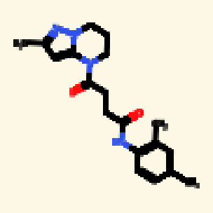 Cc1ccc(NC(=O)CCC(=O)N2CCCn3nc(C)cc32)c(C)c1